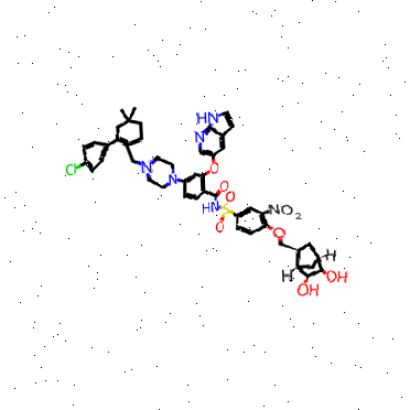 CC1(C)CCC(CN2CCN(c3ccc(C(=O)NS(=O)(=O)c4ccc(OC[C@H]5C[C@@H]6C[C@H]5[C@H](O)C6O)c([N+](=O)[O-])c4)c(Oc4cnc5[nH]ccc5c4)c3)CC2)=C(c2ccc(Cl)cc2)C1